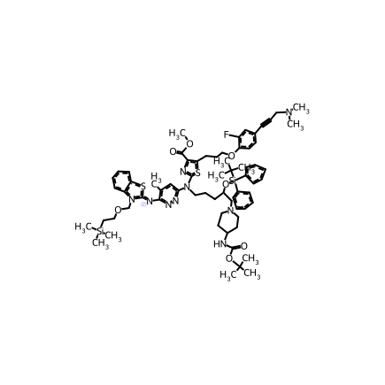 COC(=O)c1nc(N(CCCC(CN2CCC(NC(=O)OC(C)(C)C)CC2)O[Si](c2ccccc2)(c2ccccc2)C(C)(C)C)c2cc(C)c(/N=c3\sc4ccccc4n3COCC[Si](C)(C)C)nn2)sc1CCCOc1ccc(C#CCN(C)C)cc1F